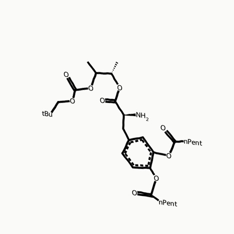 CCCCCC(=O)Oc1ccc(C[C@H](N)C(=O)O[C@@H](C)C(C)OC(=O)OCC(C)(C)C)cc1OC(=O)CCCCC